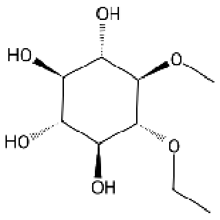 CCO[C@@H]1[C@@H](O)[C@H](O)[C@@H](O)[C@H](O)[C@H]1OC